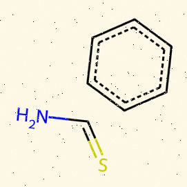 NC=S.c1ccccc1